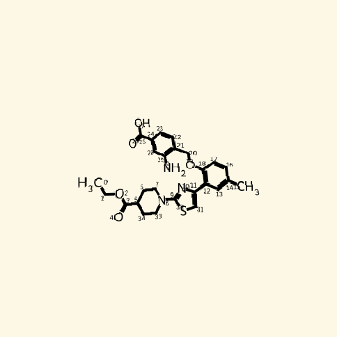 CCOC(=O)C1CCN(c2nc(-c3cc(C)ccc3OCc3ccc(C(=O)O)cc3N)cs2)CC1